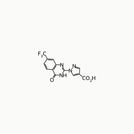 O=C(O)c1cnn(-c2nc3cc(C(F)(F)F)ccc3c(=O)[nH]2)c1